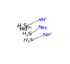 [NH-][SiH3].[NH-][SiH3].[NH-][SiH3].[Nd+3]